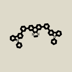 c1ccc(-n2c3ccccc3c3cc(-c4cccc(-c5ccc6c7ccc(-c8cccc(-c9ccc%10c(c9)c9ccccc9n%10-c9ccccc9)c8)cc7c7nccnc7c6c5)c4)ccc32)cc1